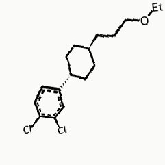 CCOCCC[C@H]1CC[C@H](c2ccc(Cl)c(Cl)c2)CC1